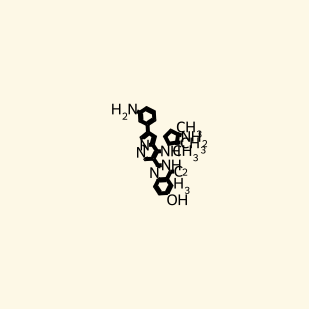 CCc1cc(O)ccc1/N=C(\N)c1cnn2cc(-c3cccc(N)c3)cc2c1N[C@@H]1CC[C@](C)(N)C1(C)C